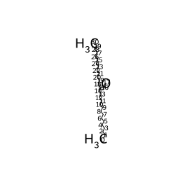 CCCCCCCCCCCCCC/C=C(\C=O)CCCCCCCCCCCCC